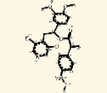 COc1ccc(C(Cc2c(Cl)cncc2Cl)OC(=O)C(C)c2ccc(NSC)cc2)cc1OC